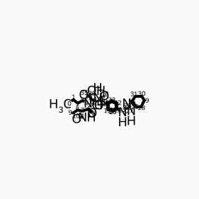 CCCCN(C(=O)C1CCON1)C(C)(NS(=O)(=O)c1ccc(Nc2nc3c([nH]2)CCCC3)cc1)C(=O)O